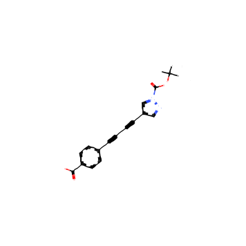 CC(C)(C)OC(=O)n1cc(C#CC#Cc2ccc(C(=O)O)cc2)cn1